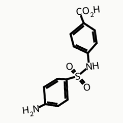 Nc1ccc(S(=O)(=O)Nc2ccc(C(=O)O)cc2)cc1